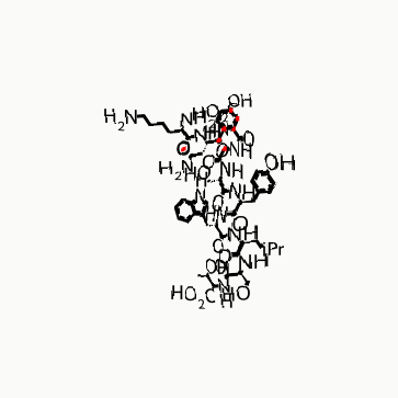 CC(C)C[C@H](NC(=O)[C@H](Cc1c[nH]c2ccccc12)NC(=O)[C@H](Cc1ccc(O)cc1)NC(=O)[C@H](CO)NC(=O)[C@H](Cc1ccc(O)cc1)NC(=O)[C@H](CC(=O)O)NC(=O)[C@H](CC(N)=O)NC(=O)[C@@H](N)CCCCN)C(=O)N[C@@H](CO)C(=O)N[C@H](C(=O)O)[C@@H](C)O